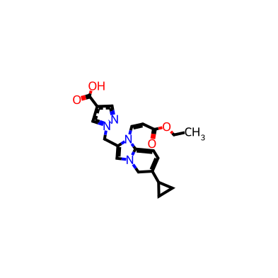 CCOC(=O)/C=C\N1C(Cn2cc(C(=O)O)cn2)=CN2CC(C3CC3)=CC=C21